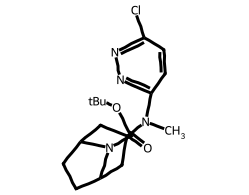 CN(c1ccc(Cl)nn1)C1CC2CCC(C1)N2C(=O)OC(C)(C)C